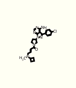 CN(CC=CC(=O)N1CCC(n2nc(-c3ccc(Cl)cc3)c3c(N)ncnc32)C1)C1CCC1